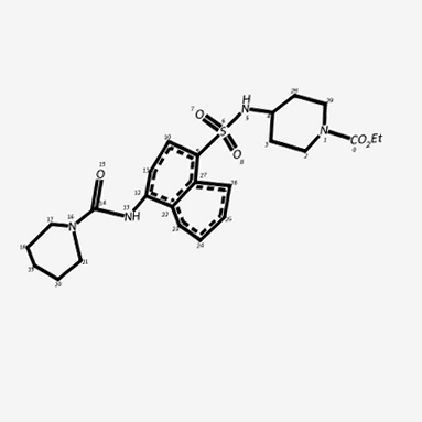 CCOC(=O)N1CCC(NS(=O)(=O)c2ccc(NC(=O)N3CCCCC3)c3ccccc23)CC1